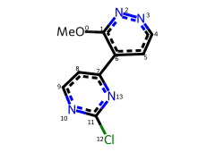 COc1nnccc1-c1ccnc(Cl)n1